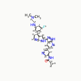 CN(C)CCNc1cc(F)cc(-c2ccnc3[nH]c(-c4n[nH]c5ncc(-c6cncc(NC(=O)C7CC7)c6)cc45)cc23)c1